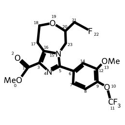 COC(=O)c1nc(-c2ccc(OC(F)(F)F)c(OC)c2)n2c1CCOC(CF)C2